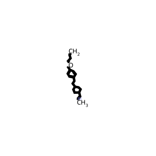 C=CCCOCc1ccc(CCC2CCC(/C=C/C)CC2)cc1